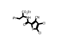 CCOC(=O)C(CC(C)C)NC(=O)c1sc(Cl)c(Cl)c1C#N